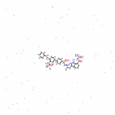 CCN(CC)OC(=O)c1cccc2c(C[C@@H](C)NC[C@@H](O)c3ccc(-c4ccc(OCc5ccccc5)c(NS(C)(=O)=O)c4)cc3)c[nH]c12